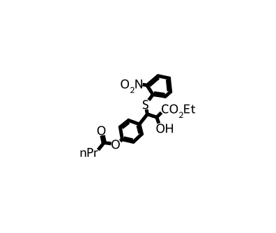 CCCC(=O)Oc1ccc(C(Sc2ccccc2[N+](=O)[O-])C(O)C(=O)OCC)cc1